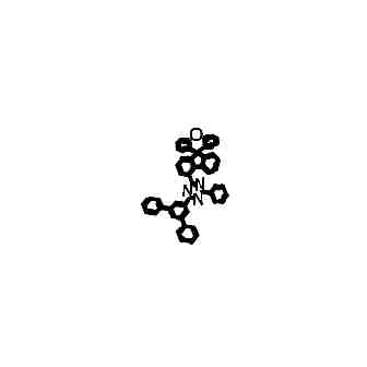 c1ccc(-c2cc(-c3ccccc3)cc(-c3nc(-c4ccccc4)nc(-c4cccc5c4-c4ccccc4C54c5ccccc5Oc5ccccc54)n3)c2)cc1